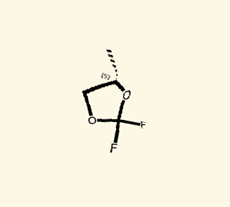 C[C@H]1COC(F)(F)O1